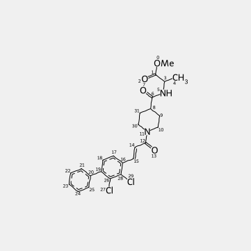 COC(=O)C(C)NC(=O)C1CCN(C(=O)C=Cc2ccc(-c3ccccc3)c(Cl)c2Cl)CC1